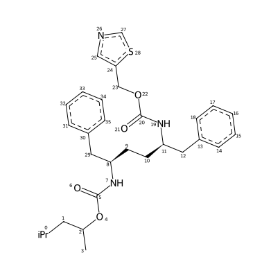 CC(C)CC(C)OC(=O)N[C@H](CC[C@H](Cc1ccccc1)NC(=O)OCc1cncs1)Cc1ccccc1